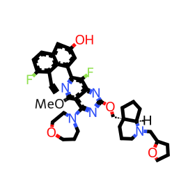 C#Cc1c(F)ccc2cc(O)cc(-c3nc(OC)c4c(N5CCCOCC5)nc(OC[C@]56CCC[C@H]5N(CC5CCCO5)CCC6)nc4c3F)c12